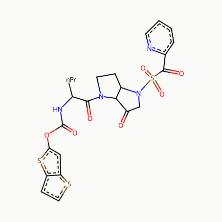 CCCC(NC(=O)Oc1cc2sccc2s1)C(=O)N1CCC2C1C(=O)CN2S(=O)(=O)C(=O)c1ccccn1